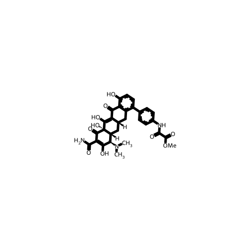 COC(=O)C(=O)Nc1ccc(-c2ccc(O)c3c2C[C@@H]2C[C@@H]4[C@@H](N(C)C)C(O)=C(C(N)=O)C(=O)[C@@]4(O)C(O)=C2C3=O)cc1